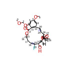 COCOc1cc(OC)cc2c1C(=O)O[C@@H](C)C/C=C(/F)C(O)[C@H]1OC(C)(C)C3(/C=C/2)O[C@H]13